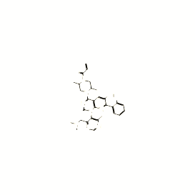 C=CC(=O)N1CC(C)N(c2nc(=O)n(-c3c(C)ncnc3CN(C)C)c3nc(-c4ccccc4F)c(Cl)cc23)CC1C